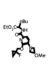 CCCCC(NC(=O)c1ccc(N2CC(OC)C2)c(OCC2(F)CC2)n1)C(=O)OCC